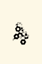 COC1CCC([C@H](c2ccc(F)cc2)[C@H](N=[N+]=[N-])C(=O)N2C(=O)OC[C@@H]2c2ccccc2)CC1